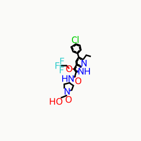 CCc1nc2[nH]c(C(=O)NC3CCN(C(=O)CO)CC3)c(OCC(F)(F)F)c2cc1-c1ccc(Cl)cc1